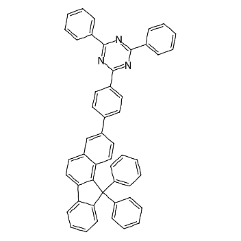 c1ccc(-c2nc(-c3ccccc3)nc(-c3ccc(-c4ccc5c6c(ccc5c4)-c4ccccc4C6(c4ccccc4)c4ccccc4)cc3)n2)cc1